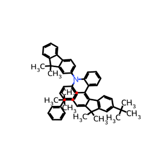 CC(C)(C)c1ccc2c(c1)C(C)(C)c1cc(C(C)(C)C)cc(-c3ccccc3N(c3ccc(-c4ccccc4)cc3)c3ccc4c(c3)C(C)(C)c3ccccc3-4)c1-2